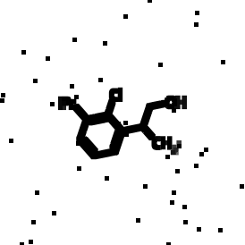 [CH2]C(CO)c1cccc(C(C)C)c1Cl